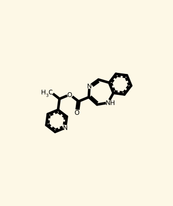 CC(OC(=O)C1=CNc2ccccc2C=N1)c1cccnc1